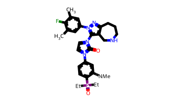 CCP(=O)(CC)c1ccc(-n2ccn(-c3c4c(nn3-c3cc(C)c(F)c(C)c3)CCCNC4)c2=O)cc1NC